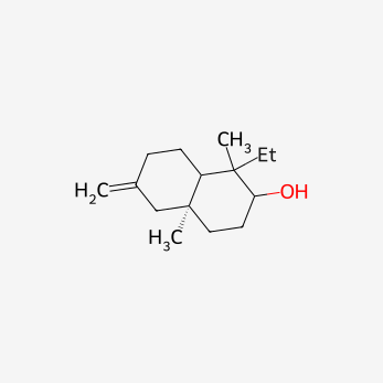 C=C1CCC2C(C)(CC)C(O)CC[C@@]2(C)C1